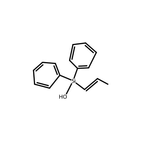 CC=C[Si](O)(c1ccccc1)c1ccccc1